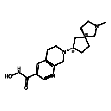 CN1CC[C@]2(CC[C@H](N3CCc4cc(C(=O)NO)cnc4C3)C2)C1